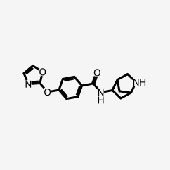 O=C(NC1CC2CC1CN2)c1ccc(Oc2ncco2)cc1